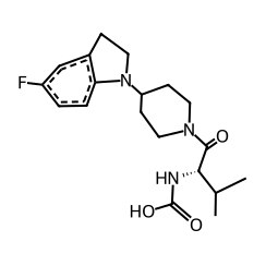 CC(C)[C@H](NC(=O)O)C(=O)N1CCC(N2CCc3cc(F)ccc32)CC1